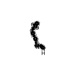 CC(C)(c1ccc(OCc2ccnc(N3CCC4(CCNC4)C3)n2)cc1)c1ccc(OC2CC(N3C(=O)c4ccccc4C3=O)C2)cc1